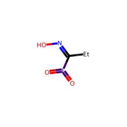 CCC(=NO)I(=O)=O